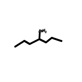 CCCC([AsH2])CCC